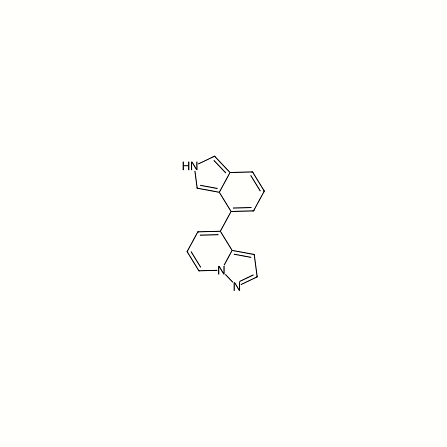 c1cc(-c2cccn3nccc23)c2c[nH]cc2c1